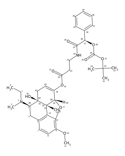 CCN(C)[C@@H]1Cc2ccc(OC)c3c2[C@@]2(C)[C@@H](O3)C(OC(=O)CCNC(=O)[C@H](OC(=O)OC(C)(C)C)c3ccccc3)=CC[C@@]12O